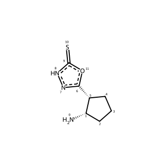 N[C@H]1CCC[C@H]1c1n[nH]c(=S)o1